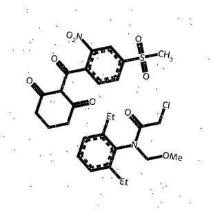 CCc1cccc(CC)c1N(COC)C(=O)CCl.CS(=O)(=O)c1ccc(C(=O)C2C(=O)CCCC2=O)c([N+](=O)[O-])c1